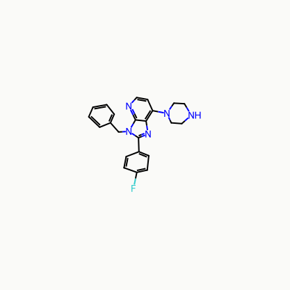 Fc1ccc(-c2nc3c(N4CCNCC4)ccnc3n2Cc2ccccc2)cc1